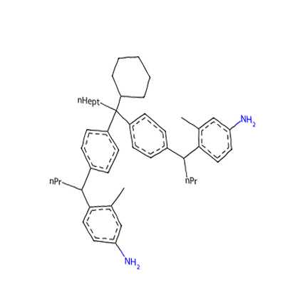 CCCCCCCC(c1ccc(C(CCC)c2ccc(N)cc2C)cc1)(c1ccc(C(CCC)c2ccc(N)cc2C)cc1)C1CCCCC1